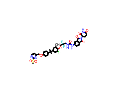 CC(C)(c1ccc(OCc2ccnc(S(C)(=O)=O)n2)cc1)c1cc(Cl)c(OCC(F)(F)CNC(=O)Nc2ccc3c(c2)C(=O)N(C2CCC(=O)NC2=O)C3=O)c(C#N)c1